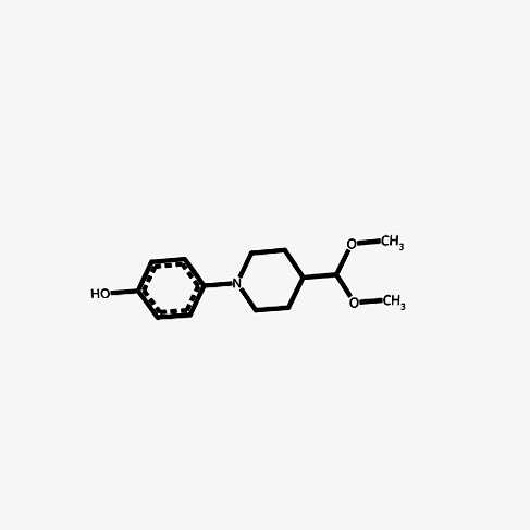 COC(OC)C1CCN(c2ccc(O)cc2)CC1